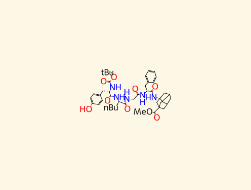 CCCC[C@@H](NC(=O)[C@H](Cc1ccc(O)cc1)NC(=O)OC(C)(C)C)C(=O)NCC(=O)N[C@@H](Cc1ccccc1)C(=O)NC12CC3CC(C1)CC(C(=O)OC)(C3)C2